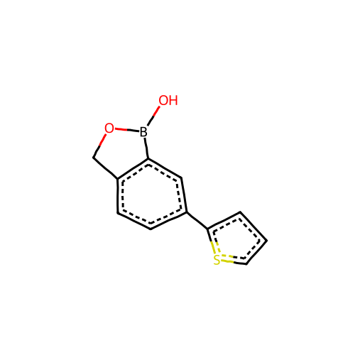 OB1OCc2ccc(-c3cccs3)cc21